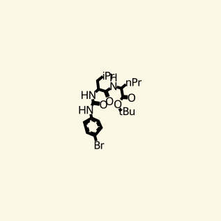 CCCC(NC(=O)C(CC(C)C)NC(=O)Nc1ccc(Br)cc1)C(=O)OC(C)(C)C